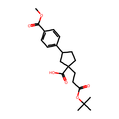 COC(=O)c1ccc(C2CCC(CCC(=O)OC(C)(C)C)(C(=O)O)C2)cc1